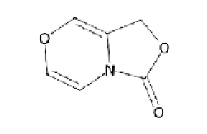 O=C1OCC2=COC=CN12